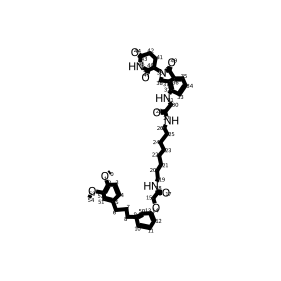 COc1ccc(CCCc2cccc(OCC(=O)NCCCCCCCCNC(=O)CNc3cccc4c3CN(C3CCC(=O)NC3=O)C4=O)c2)cc1OC